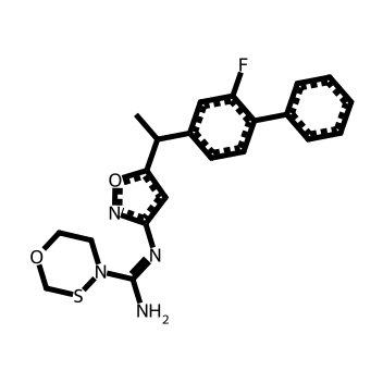 CC(c1ccc(-c2ccccc2)c(F)c1)c1cc(N=C(N)N2CCOCS2)no1